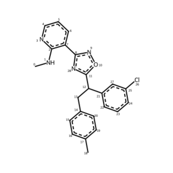 CNc1ncccc1-c1noc(C(Cc2ccc(C)cc2)c2cccc(Cl)c2)n1